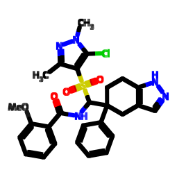 COc1ccccc1C(=O)NC(C1(c2ccccc2)CCc2[nH]ncc2C1)S(=O)(=O)c1c(C)nn(C)c1Cl